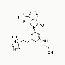 Cn1cnnc1CCc1cc(NCCO)nc(N2Cc3c(cccc3C(F)(F)F)C2=O)c1